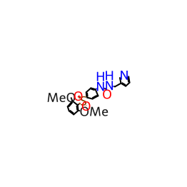 COc1cccc(OC)c1S(=O)(=O)c1ccc(NC(=O)NCc2cccnc2)cc1